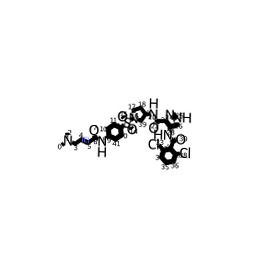 CN(C)C/C=C/C(=O)Nc1ccc(S(=O)(=O)N2CCC(NC(=O)c3n[nH]cc3NC(=O)c3c(Cl)cccc3Cl)C2)cc1